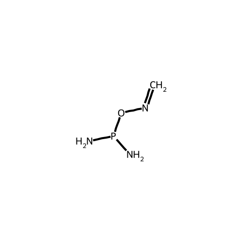 C=NOP(N)N